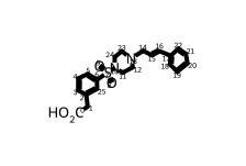 O=C(O)Cc1cccc(S(=O)(=O)N2CCN(CC=Cc3ccccc3)CC2)c1